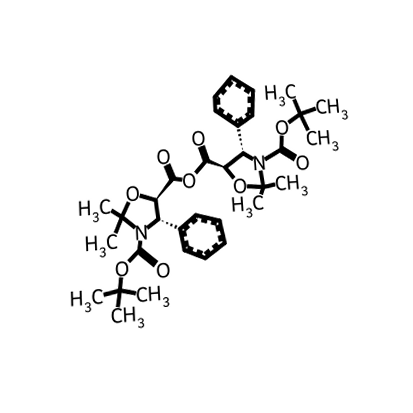 CC(C)(C)OC(=O)N1[C@@H](c2ccccc2)[C@H](C(=O)OC(=O)[C@@H]2OC(C)(C)N(C(=O)OC(C)(C)C)[C@H]2c2ccccc2)OC1(C)C